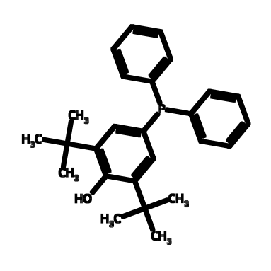 CC(C)(C)c1cc(P(c2ccccc2)c2ccccc2)cc(C(C)(C)C)c1O